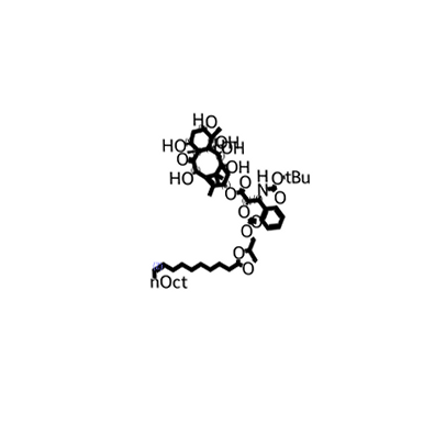 CCCCCCCC/C=C\CCCCCCCC1OCC(COC(=O)O[C@@H](C(=O)O[C@H]2C[C@@]3(O)[C@@H](O)[C@@H]4[C@]5(O)CO[C@@H]5C[C@H](O)[C@@]4(C)C(=O)[C@H](O)C(=C2C)C3(C)C)[C@@H](NC(=O)OC(C)(C)C)c2ccccc2)O1